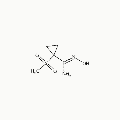 CS(=O)(=O)C1(C(N)=NO)CC1